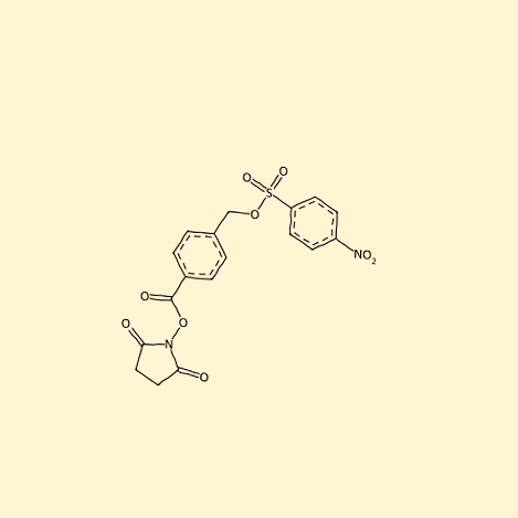 O=C(ON1C(=O)CCC1=O)c1ccc(COS(=O)(=O)c2ccc([N+](=O)[O-])cc2)cc1